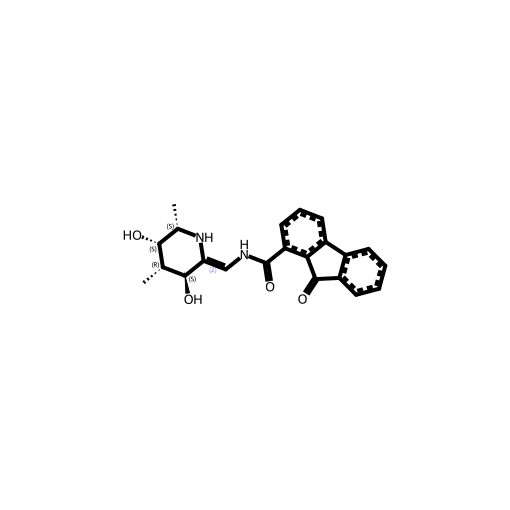 C[C@@H]1[C@H](O)[C@H](C)N/C(=C\NC(=O)c2cccc3c2C(=O)c2ccccc2-3)[C@H]1O